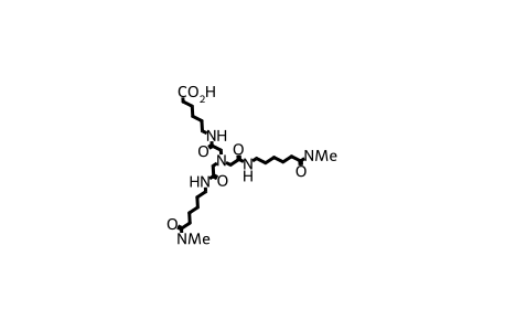 CNC(=O)CCCCCNC(=O)CN(CC(=O)NCCCCCC(=O)O)CC(=O)NCCCCCC(=O)NC